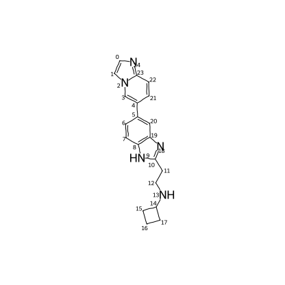 c1cn2cc(-c3ccc4[nH]c(CCNC5CCC5)nc4c3)ccc2n1